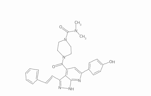 CN(C)C(=O)N1CCN(C(=O)c2cc(-c3ccc(O)cc3)nc3[nH]nc(/C=C/c4ccccc4)c23)CC1